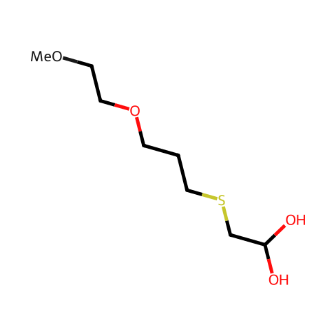 COCCOCCCSCC(O)O